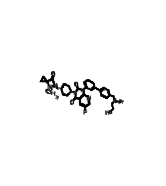 CC(C)N(CCO)Cc1ccc(-c2cccc(-n3c(=O)n([C@H]4CC[C@@H](N5C(=O)C6(CC6)N5C)CC4)c(=O)c4cc(F)cnc43)c2)cc1